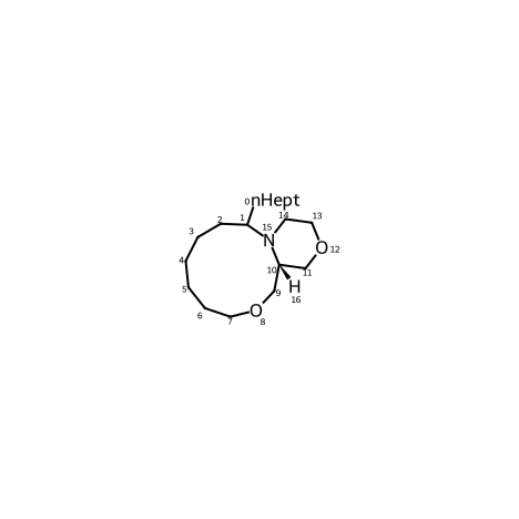 CCCCCCCC1CCCCCCOC[C@H]2COCCN12